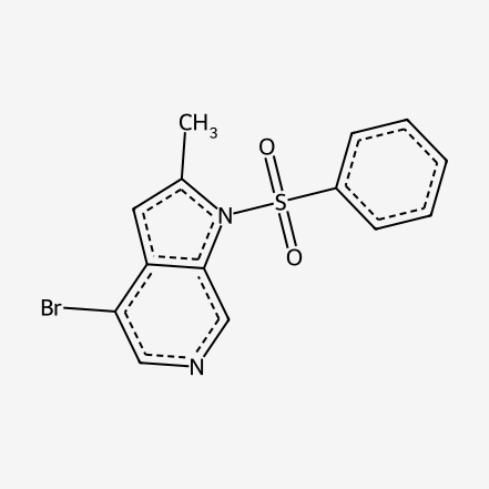 Cc1cc2c(Br)cncc2n1S(=O)(=O)c1ccccc1